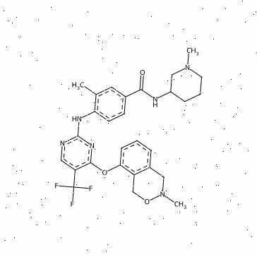 Cc1cc(C(=O)NC2CCCN(C)C2)ccc1Nc1ncc(C(F)(F)F)c(Oc2cccc3c2CON(C)C3)n1